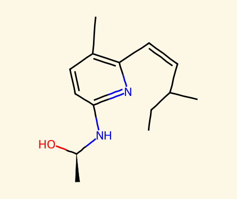 CCC(C)/C=C\c1nc(N[C@@H](C)O)ccc1C